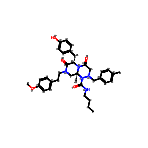 CCCCNC(=O)N1[C@H]2CN(CCc3ccc(OC)cc3)C(=O)[C@H](Cc3ccc(O)cc3)N2C(=O)CN1Cc1ccc(C)cc1